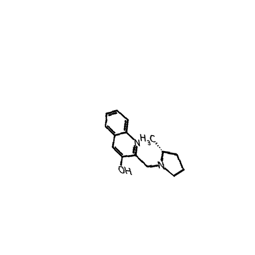 C[C@@H]1CCCN1Cc1nc2ccccc2cc1O